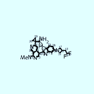 CNc1ncc(-c2nc3cc(N4CC(CC(F)F)C4)ccc3o2)c2cc(C3(C(N)=O)CC3)ncc12